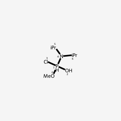 CO[PH](O)(Cl)N(C(C)C)C(C)C